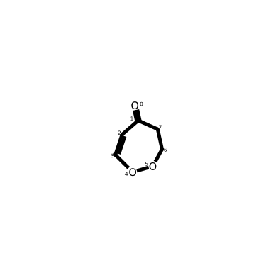 O=C1C=COOCC1